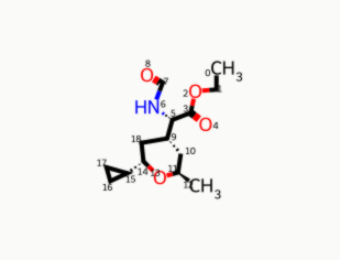 CCOC(=O)[C@@H](NC=O)[C@@H]1C[C@@H](C)O[C@H](C2CC2)C1